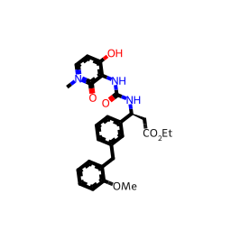 CCOC(=O)C[C@H](NC(=O)Nc1c(O)ccn(C)c1=O)c1cccc(Cc2ccccc2OC)c1